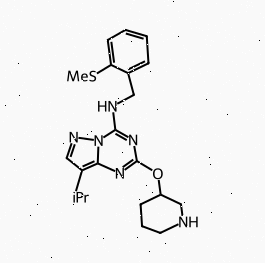 CSc1ccccc1CNc1nc(OC2CCCNC2)nc2c(C(C)C)cnn12